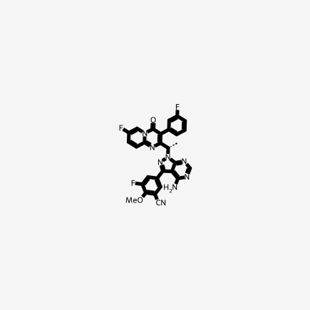 COc1c(F)cc(-c2nn([C@@H](C)c3nc4ccc(F)cn4c(=O)c3-c3cccc(F)c3)c3ncnc(N)c23)cc1C#N